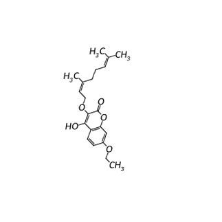 CCOc1ccc2c(O)c(OCC=C(C)CCC=C(C)C)c(=O)oc2c1